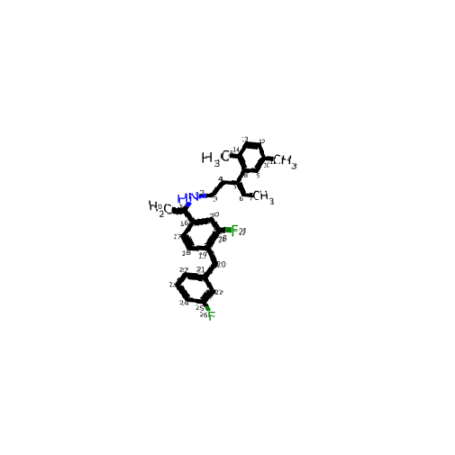 C=C(NCC/C(=C/C)c1cc(C)ccc1C)c1ccc(Cc2cccc(F)c2)c(F)c1